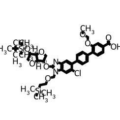 COCOc1cc(C(=O)O)ccc1-c1ccc(-c2cc3nc(O[C@@H]4CO[C@@H]5C(O[Si](C)(C)C(C)(C)C)CO[C@@H]54)n(COCC[Si](C)(C)C)c3cc2Cl)cc1